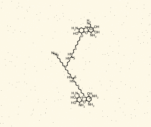 [N-]=[N+]=NCCCCCN(CCCCNC(=S)NCCSCCCCOC1[C@H](O[C@H]2OC(CN)[C@@H](O)[C@H](O)C2N)C(N)C[C@@H](N)[C@H]1O)CCCNC(=S)NCCSCCCCCOC1[C@H](O[C@H]2OC(CN)[C@@H](O)[C@H](O)C2N)C(N)C[C@@H](N)[C@H]1O